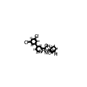 N#CN1[C@H]2CC[C@@H]1[C@H](NC(=O)c1cc(-c3cc(Cl)cc(Cl)c3)ccn1)C2